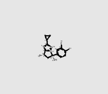 Fc1ccc([C@@]2(S)C[C@H](F)c3nc(C4CC4)nn32)cc1F